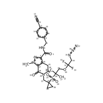 Cn1nc(C(=O)NCc2ccc(C#N)cc2)c2c1C(=O)N(CC1(S(=O)(=O)C(C)(C)COC(F)(F)CN=[N+]=[N-])CC1)CC2